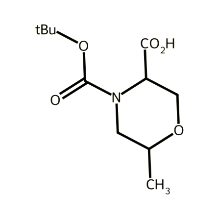 CC1CN(C(=O)OC(C)(C)C)C(C(=O)O)CO1